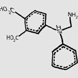 NC[SiH](c1ccccc1)c1ccc(C(=O)O)c(C(=O)O)c1